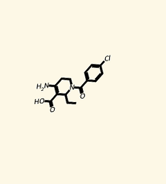 CCC1C(C(=O)O)=C(N)CCN1C(=O)c1ccc(Cl)cc1